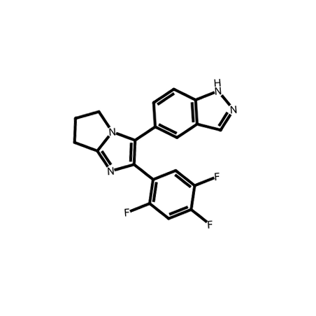 Fc1cc(F)c(-c2nc3n(c2-c2ccc4[nH]ncc4c2)CCC3)cc1F